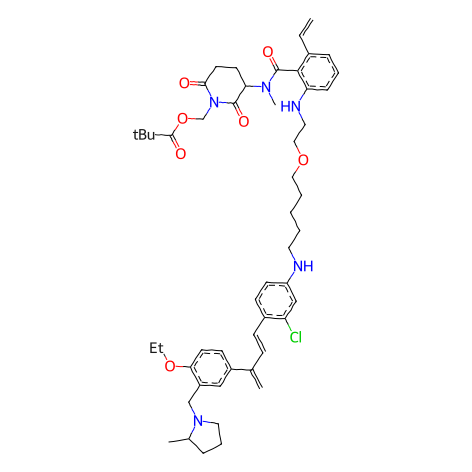 C=Cc1cccc(NCCOCCCCCNc2ccc(/C=C/C(=C)c3ccc(OCC)c(CN4CCCC4C)c3)c(Cl)c2)c1C(=O)N(C)C1CCC(=O)N(COC(=O)C(C)(C)C)C1=O